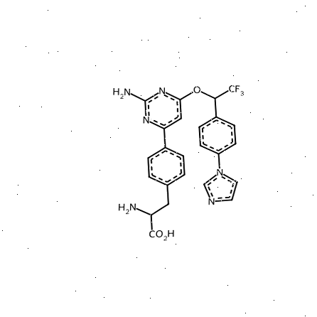 Nc1nc(OC(c2ccc(-n3ccnc3)cc2)C(F)(F)F)cc(-c2ccc(CC(N)C(=O)O)cc2)n1